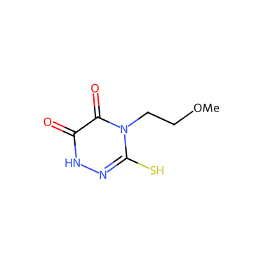 COCCn1c(S)n[nH]c(=O)c1=O